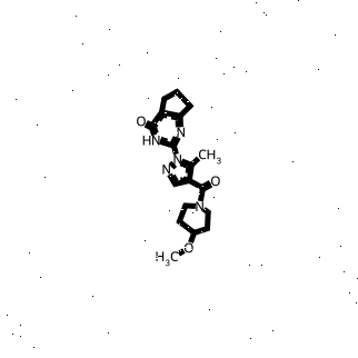 COC1CCN(C(=O)c2cnn(-c3nc4c(c(=O)[nH]3)CCC4)c2C)CC1